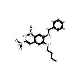 CCCCOc1cc(/C=C/[N+](=O)[O-])c([N+](=O)[O-])cc1OCc1ccccc1